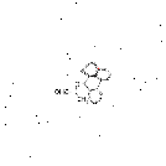 CC(C=O)OC(c1ccccc1)c1ccccc1-c1ccccc1